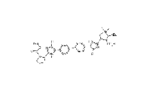 CC(C)(C)OC(=O)N1CCCC1c1nc(Cl)c(-c2ccc(-c3ccc(-c4[nH]c(C5C[Si](C)(C)C(C(C)(C)C)N5C(=O)O)nc4Cl)cc3)cc2)[nH]1